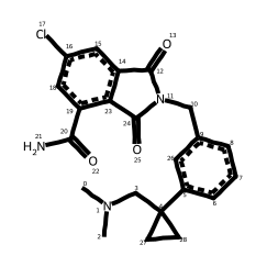 CN(C)CC1(c2cccc(CN3C(=O)c4cc(Cl)cc(C(N)=O)c4C3=O)c2)CC1